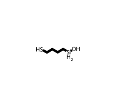 O[SiH2]CCCCS